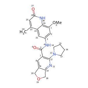 COc1cc(NC(=O)c2cc3c(nc2N2CCCC2)COC3)cc2c(C)cc(=O)[nH]c12